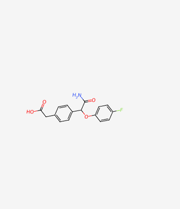 NC(=O)C(Oc1ccc(F)cc1)c1ccc(CC(=O)O)cc1